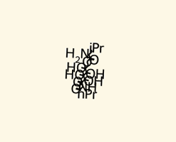 CCCC(=O)NC(=O)C(O)C(O)C(O)C(O)COC(=O)C(N)CC(C)C